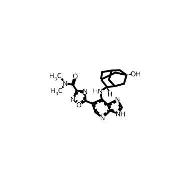 CN(C)C(=O)c1noc(-c2cnc3[nH]cnc3c2N[C@H]2C3CC4CC2C[C@@](O)(C4)C3)n1